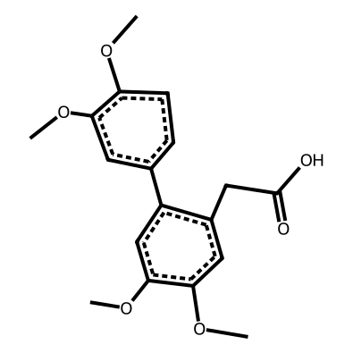 COc1ccc(-c2cc(OC)c(OC)cc2CC(=O)O)cc1OC